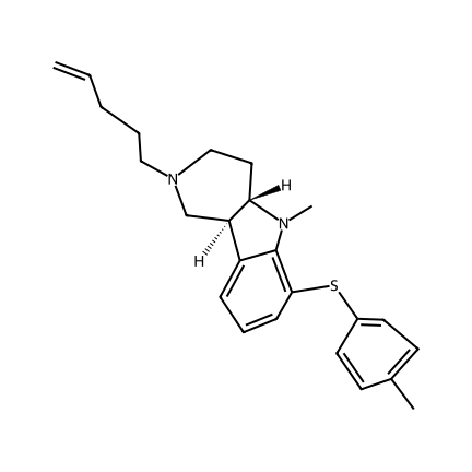 C=CCCCN1CC[C@H]2[C@H](C1)c1cccc(Sc3ccc(C)cc3)c1N2C